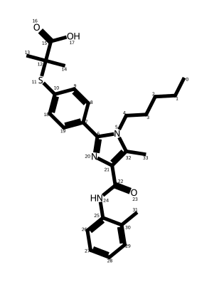 CCCCCn1c(-c2ccc(SC(C)(C)C(=O)O)cc2)nc(C(=O)Nc2ccccc2C)c1C